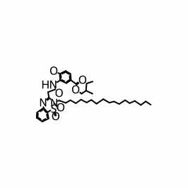 CCCCCCCCCCCCCCCCCCN1C(CC(=O)Nc2cc(C(=O)OCC(C)CC)ccc2OC)=Nc2ccccc2S1(=O)=O